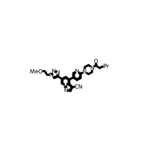 COCCn1cc(-c2cc(-c3ccc(N4CCN(C(=O)CC(C)C)CC4)nc3)c3c(C#N)cnn3c2)nn1